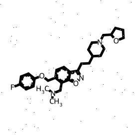 CN(C)Cc1c(COc2ccc(F)cc2)ccc2c(CCC3CCN(CC4CCCO4)CC3)noc12